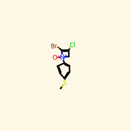 CSc1ccc([N+]2([O-])CC(Cl)=C2Br)cc1